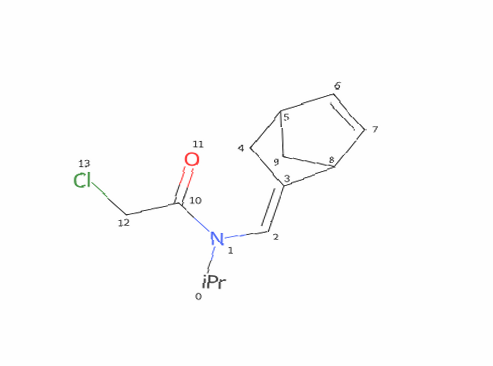 CC(C)N(C=C1CC2C=CC1C2)C(=O)CCl